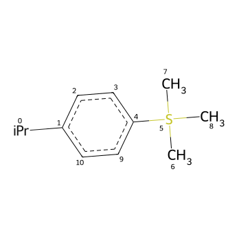 CC(C)c1ccc(S(C)(C)C)cc1